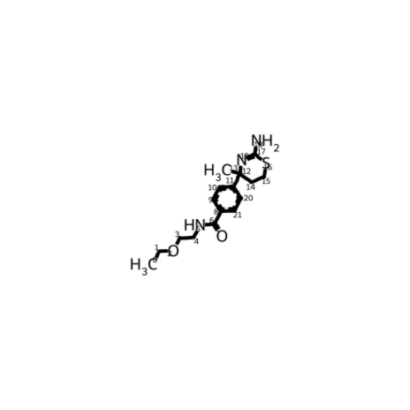 CCOCCNC(=O)c1ccc(C2(C)CCSC(N)=N2)cc1